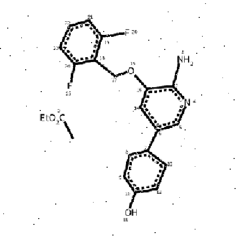 CCOC(C)=O.Nc1ncc(-c2ccc(O)cc2)cc1OCc1c(F)cccc1F